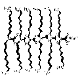 CCCCCCCCCN(CCCCCCCCC)C(=S)[S-].CCCCCCCCCN(CCCCCCCCC)C(=S)[S-].CCCCCCCCCN(CCCCCCCCC)C(=S)[S-].CCCCCCCCCN(CCCCCCCCC)C(=S)[S-].CCCCCCCCCN(CCCCCCCCC)C(=S)[S-].CCCCCCCCCN(CCCCCCCCC)C(=S)[S-].[Mo+6]